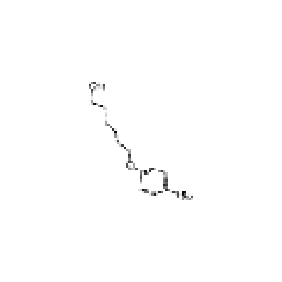 CC(C)(C)c1ccc(OCCCCCCO)cc1